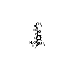 CCCNC(=O)Oc1cccc(C(C)N(C)C)c1